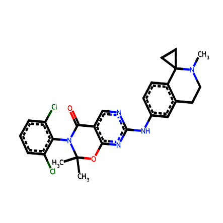 CN1CCc2cc(Nc3ncc4c(n3)OC(C)(C)N(c3c(Cl)cccc3Cl)C4=O)ccc2C12CC2